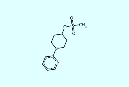 CS(=O)(=O)OC1CCN(c2ccccn2)CC1